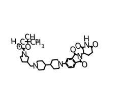 CC(C)(C)OC(=O)N1CCC(CN2CCC(C3CCN(c4ccc5c(c4)C(=O)N(C4CCC(=O)NC4=O)C5=O)CC3)CC2)C1